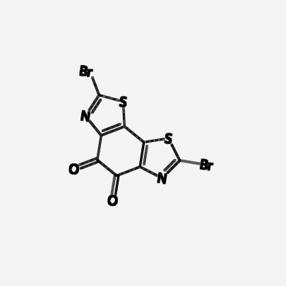 O=C1C(=O)c2nc(Br)sc2-c2sc(Br)nc21